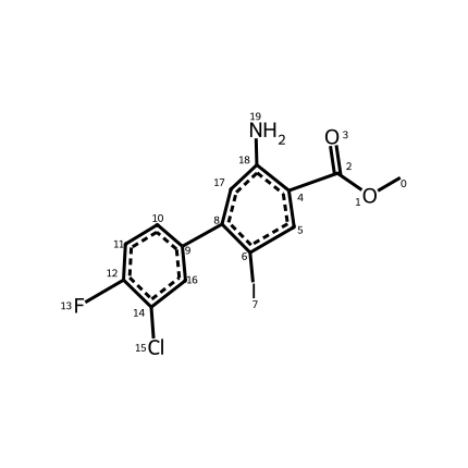 COC(=O)c1cc(I)c(-c2ccc(F)c(Cl)c2)cc1N